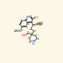 COc1ccc2ncc(Cl)c(C(O)CCC3(CO)CCNCC3)c2c1.Cl.Cl